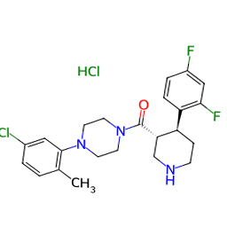 Cc1ccc(Cl)cc1N1CCN(C(=O)[C@H]2CNCC[C@@H]2c2ccc(F)cc2F)CC1.Cl